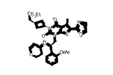 CCOC(=O)C[C@H]1C[C@H](n2c(=O)c3c(C)c(-c4ncco4)sc3n(C[C@H](OC3CCOCC3)c3ccccc3OC)c2=O)C1